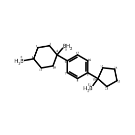 BC1CCC(B)(c2ccc(C3(B)CCCC3)cc2)CC1